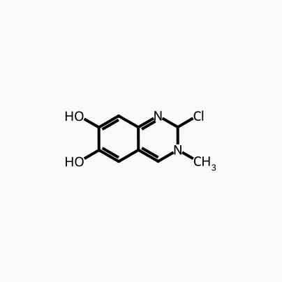 CN1C=c2cc(O)c(O)cc2=NC1Cl